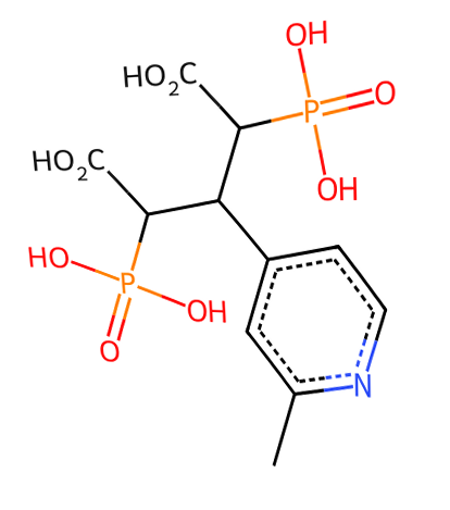 Cc1cc(C(C(C(=O)O)P(=O)(O)O)C(C(=O)O)P(=O)(O)O)ccn1